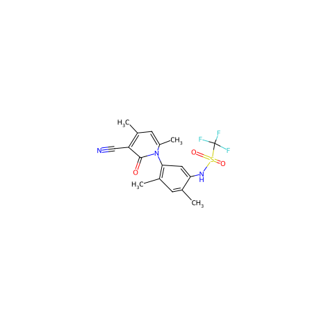 Cc1cc(C)c(-n2c(C)cc(C)c(C#N)c2=O)cc1NS(=O)(=O)C(F)(F)F